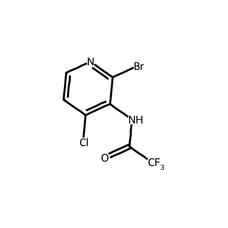 O=C(Nc1c(Cl)ccnc1Br)C(F)(F)F